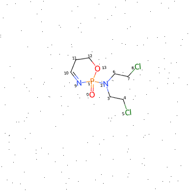 O=P1(N(CCCl)CCCl)N=CCCO1